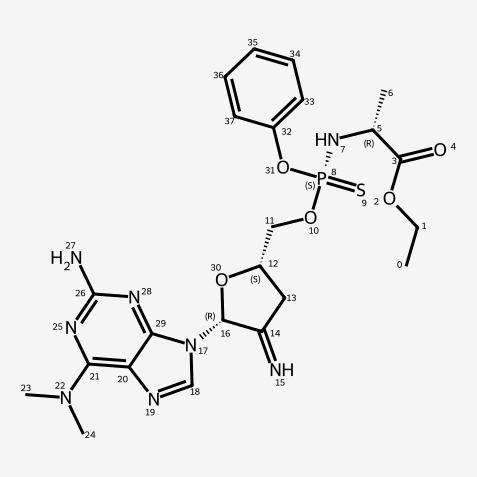 CCOC(=O)[C@@H](C)N[P@](=S)(OC[C@@H]1CC(=N)[C@H](n2cnc3c(N(C)C)nc(N)nc32)O1)Oc1ccccc1